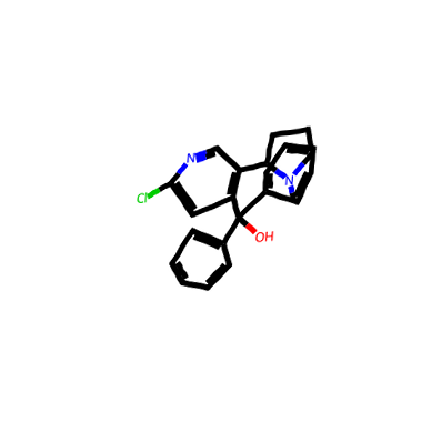 CN1CCCC1c1cnc(Cl)cc1C(O)(c1ccccc1)c1ccccc1